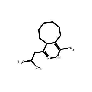 CC1=C2CCCCCCC2C(CC(C)C)=NN1